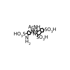 CC(=O)Nc1cc(S(=O)(=O)O)cc2cc(S(=O)(=O)O)c(N=Nc3ccc(S(=O)(=O)O)c(N)c3)c(O)c12